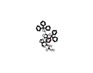 CCCC(=O)Nc1ncc2ncn([C@@H]3O[C@H](COC(c4ccccc4)(c4ccccc4)c4ccccc4)[C@@H](OC(c4ccccc4)(c4ccccc4)c4ccccc4)[C@H]3F)c2n1